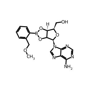 COCc1ccccc1B1OC2[C@@H](O1)[C@@H](CO)O[C@H]2n1cnc2c(N)ncnc21